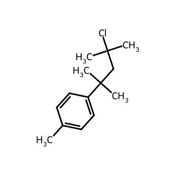 Cc1ccc(C(C)(C)CC(C)(C)Cl)cc1